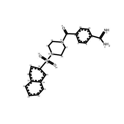 N=C(N)c1ccc(C(=O)N2CCN(S(=O)(=O)c3ccc4ccccc4c3)CC2)cc1